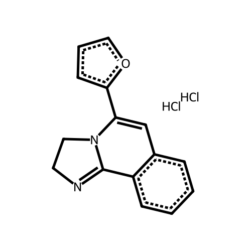 C1=C(c2ccco2)N2CCN=C2c2ccccc21.Cl.Cl